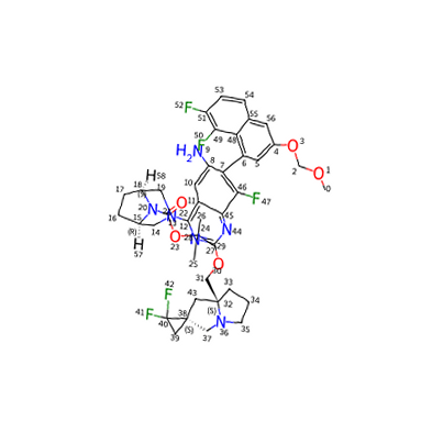 COCOc1cc(-c2c(N)cc3c(N4C[C@H]5CC[C@@H](C4)N5C(=O)OC(C)(C)C)nc(OC[C@@]45CCCN4C[C@@]4(CC4(F)F)C5)nc3c2F)c2c(F)c(F)ccc2c1